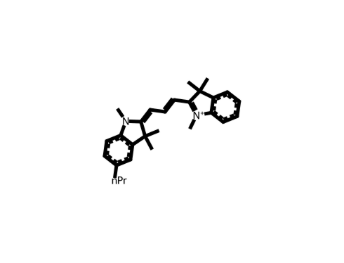 CCCc1ccc2c(c1)C(C)(C)/C(=C\C=C\C1=[N+](C)c3ccccc3C1(C)C)N2C